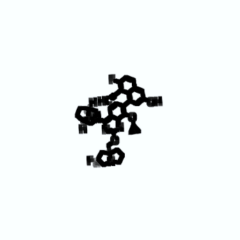 C#Cc1c(F)ccc2cc(O)cc(-c3ccc4c(N5C[C@H]6CC[C@@H](C5)N6)nc(OC[C@@]56CCCN5C[C@H](F)C6)nc4c3OC3CC3)c12